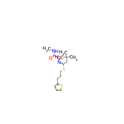 CNC(=O)ON=C(CC(C)(C)C)SCCCc1cccs1